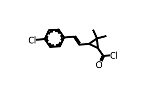 CC1(C)C(C=Cc2ccc(Cl)cc2)C1C(=O)Cl